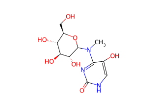 CN(c1nc(=O)[nH]cc1O)C1O[C@H](CO)[C@@H](O)[C@H](O)[C@H]1O